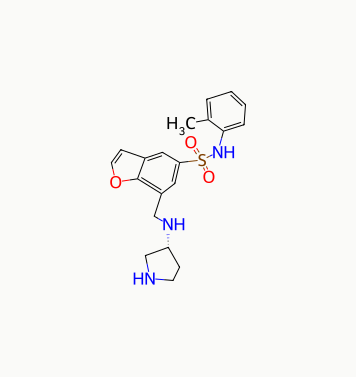 Cc1ccccc1NS(=O)(=O)c1cc(CN[C@@H]2CCNC2)c2occc2c1